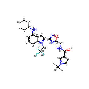 CC(C)(C)n1ccc(C(=O)NCc2nc(-c3cc4c(NC5CCCCC5)cccc4n3CC(F)(F)F)no2)c1